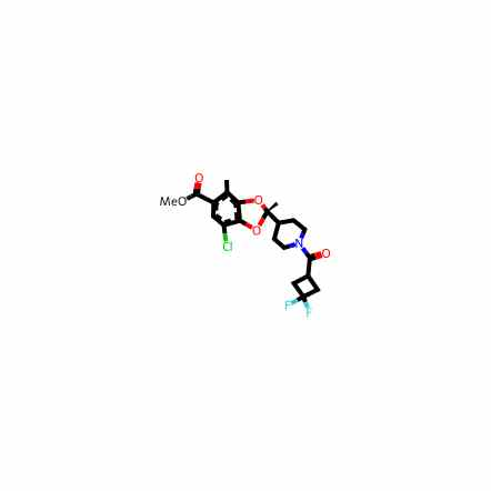 COC(=O)c1cc(Cl)c2c(c1C)O[C@](C)(C1CCN(C(=O)C3CC(F)(F)C3)CC1)O2